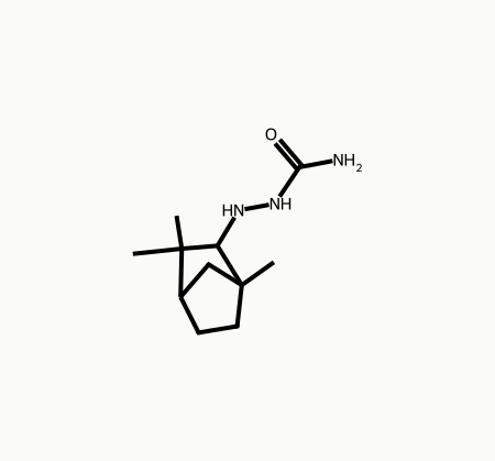 CC12CCC(C1)C(C)(C)C2NNC(N)=O